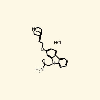 Cl.NC(=O)Cn1c2ccccc2c2ccc(OCC=C3CN4CCC3CC4)cc21